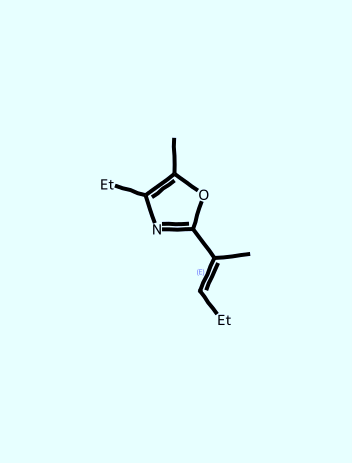 [CH2]Cc1nc(/C(C)=C/CC)oc1C